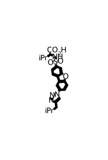 CC(C)Cc1cn(-c2ccc3oc4cc(S(=O)(=O)N[C@H](C(=O)O)C(C)C)ccc4c3c2)nn1